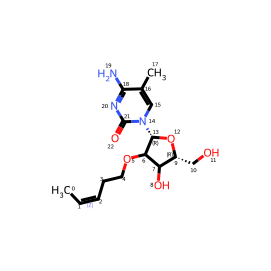 C/C=C\CCOC1C(O)[C@@H](CO)O[C@H]1n1cc(C)c(N)nc1=O